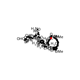 COc1cc2cc(c1Cl)N(C)C(=O)C[C@H](OC(=O)[C@H](C)N(C)C(=O)c1ccc(NC(=O)[C@H](CCCNC(N)=O)NC(=O)[C@@H](NC(C=O)CCCC(C)(C)OC(C=O)(CBr)CBr)C(C)C)c(S(C)(=O)=O)c1)[C@]1(C)O[C@H]1[C@H](C)[C@@H]1C[C@@](O)(NC(=O)O1)[C@H](OC)/C=C/C=C(\C)C2